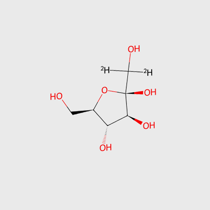 [2H]C([2H])(O)[C@@]1(O)O[C@H](CO)[C@@H](O)[C@@H]1O